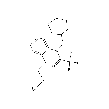 CCCCc1cc[c]cc1N(CC1CCCCC1)C(=O)C(F)(F)F